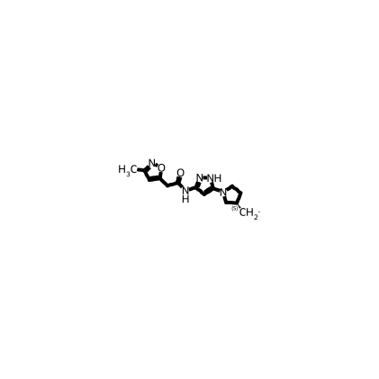 [CH2][C@H]1CCN(c2cc(NC(=O)Cc3cc(C)no3)n[nH]2)C1